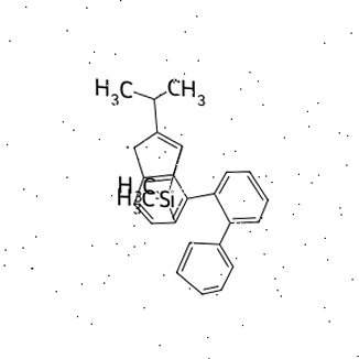 CC(C)C1=C2c3c(ccc(c3-c3ccccc3-c3ccccc3)[Si]2(C)C)[CH]1